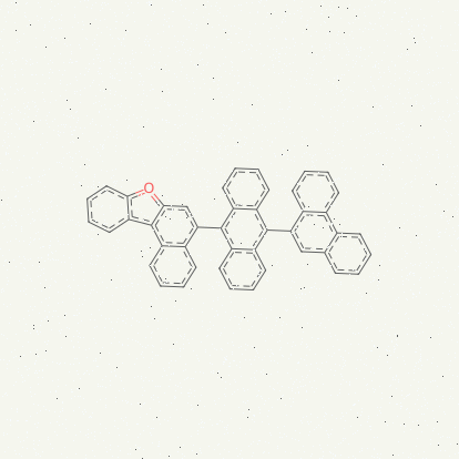 c1ccc2c(c1)cc(-c1c3ccccc3c(-c3cc4oc5ccccc5c4c4ccccc34)c3ccccc13)c1ccccc12